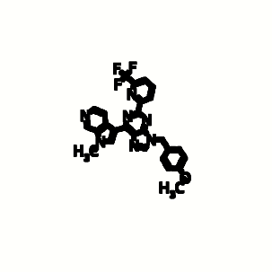 COc1ccc(Cn2cnc3c(-c4cn(C)c5cnccc45)nc(-c4cccc(C(F)(F)F)n4)nc32)cc1